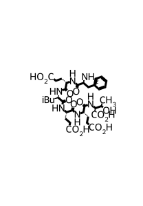 CC[C@H](C)[C@H](NC(=O)[C@H](CCC(=O)O)NC(=O)[C@@H](N)Cc1ccccc1)C(=O)N[C@@H](CCC(=O)O)C(=O)N[C@@H](CCC(=O)O)C(=O)N[C@H](C(=O)O)[C@@H](C)O